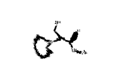 CC(C)(C)OC(=O)C(O)N1CCCC1